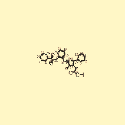 Cc1c(CC(=O)O)c(-c2ccccc2)nn1Cc1ccccc1CS(=O)(=O)c1ccccc1